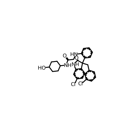 O=C(CNc1ccccc1C1(Cc2cccc(Cl)c2)C(=O)Nc2cc(Cl)ccc21)NC1CCC(O)CC1